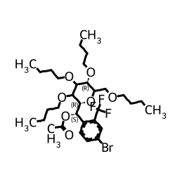 CCCCOCC1O[C@H]([C@@H](OC(C)=O)c2ccc(Br)cc2C(F)(F)F)C(OCCCC)C(OCCCC)[C@@H]1OCCCC